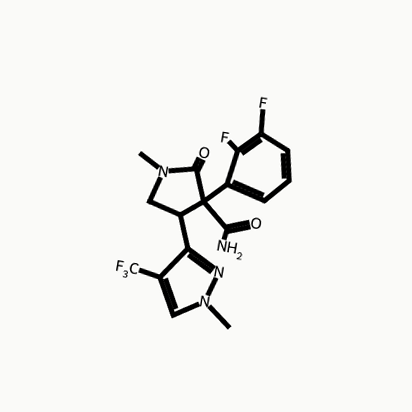 CN1CC(c2nn(C)cc2C(F)(F)F)C(C(N)=O)(c2cccc(F)c2F)C1=O